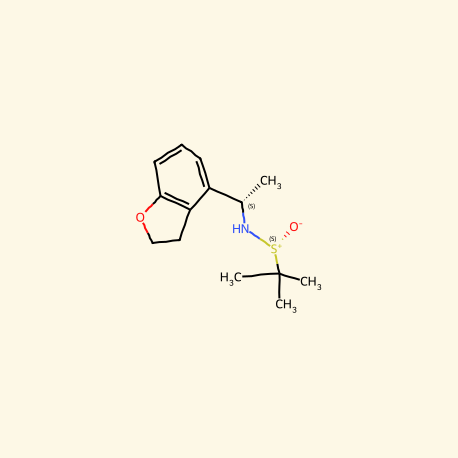 C[C@H](N[S@+]([O-])C(C)(C)C)c1cccc2c1CCO2